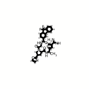 C[C@@H](NC(=O)C1CC(c2ncco2)CN1C(=O)CNC(=O)c1ccc2c(c1)-c1ccccc1C2(F)F)c1cc(C(=N)N)cs1